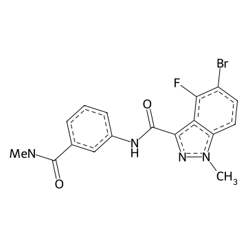 CNC(=O)c1cccc(NC(=O)c2nn(C)c3ccc(Br)c(F)c23)c1